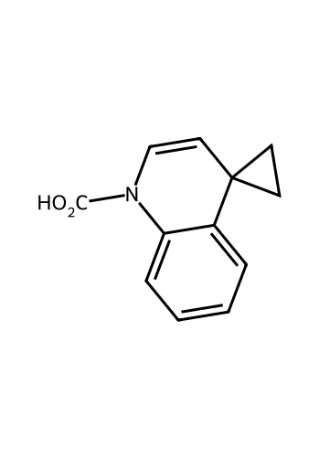 O=C(O)N1C=CC2(CC2)c2ccccc21